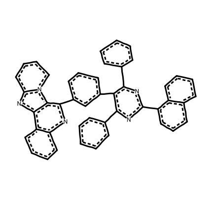 c1ccc(-c2nc(-c3cccc4ccccc34)nc(-c3ccccc3)c2-c2cccc(-c3nc4ccccc4c4nc5ccccn5c34)c2)cc1